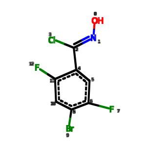 ON=C(Cl)c1cc(F)c(Br)cc1F